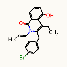 CC=Cn1c(Cc2ccc(Br)cc2)c(CC)c2c(O)cccc2c1=O